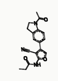 CCC(=O)Nc1occ(-c2ccc3c(c2)CCN3C(C)=O)c1C#N